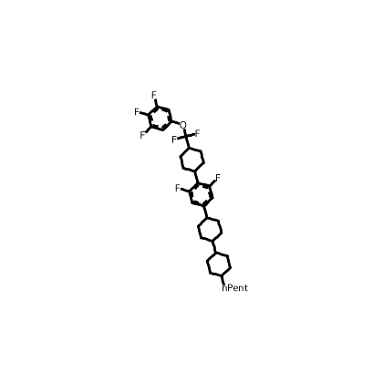 CCCCCC1CCC(C2CCC(c3cc(F)c(C4CCC(C(F)(F)Oc5cc(F)c(F)c(F)c5)CC4)c(F)c3)CC2)CC1